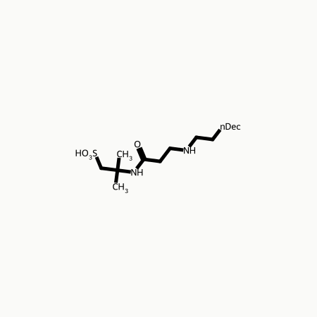 CCCCCCCCCCCCNCCC(=O)NC(C)(C)CS(=O)(=O)O